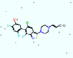 O=CC=CN1CCN(c2snc3c(F)c(-c4cc(O)c(F)cc4F)c(Cl)cc23)CC1